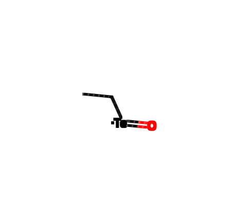 CC[Te]=O